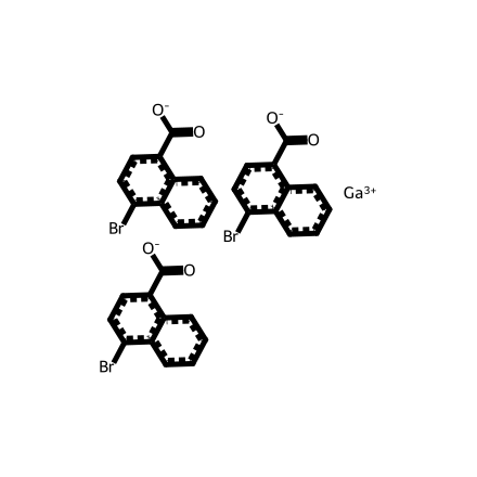 O=C([O-])c1ccc(Br)c2ccccc12.O=C([O-])c1ccc(Br)c2ccccc12.O=C([O-])c1ccc(Br)c2ccccc12.[Ga+3]